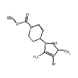 CC1=C(Br)C(C)NN1C1CCN(C(=O)OC(C)(C)C)CC1